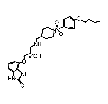 CCCCOc1ccc(S(=O)(=O)N2CCC(CNC[C@H](O)COc3cccc4[nH]c(=O)[nH]c34)CC2)cc1